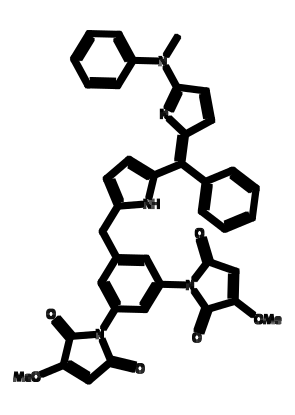 COC1=CC(=O)N(c2cc(Cc3ccc(/C(=C4/C=CC(N(C)c5ccccc5)=N4)c4ccccc4)[nH]3)cc(N3C(=O)C=C(OC)C3=O)c2)C1=O